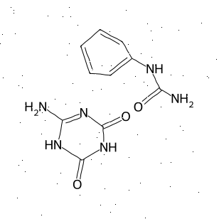 NC(=O)Nc1ccccc1.Nc1nc(=O)[nH]c(=O)[nH]1